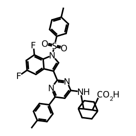 Cc1ccc(-c2cc(NC3C4CCC(CC4)C3C(=O)O)nc(-c3cn(S(=O)(=O)c4ccc(C)cc4)c4c(F)cc(F)cc34)n2)cc1